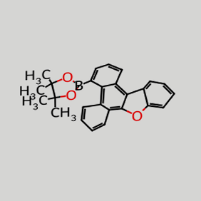 CC1(C)OB(c2cccc3c2c2ccccc2c2oc4ccccc4c32)OC1(C)C